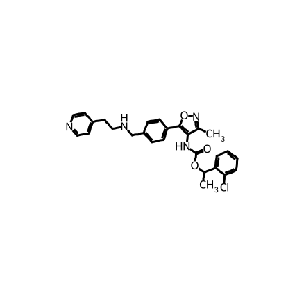 Cc1noc(-c2ccc(CNCCc3ccncc3)cc2)c1NC(=O)OC(C)c1ccccc1Cl